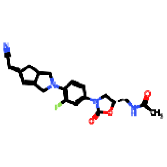 CC(=O)NC[C@H]1CN(c2ccc(N3CC4=CC(=CC#N)CC4C3)c(F)c2)C(=O)O1